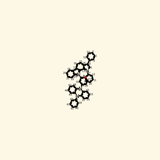 c1ccc(-c2cn(-c3ccccc3)c3c2ccc2c4ccccc4n(-c4cccc(N5c6ccccc6N(c6ccccc6)c6ccccc65)c4)c23)cc1